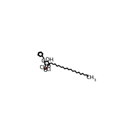 CCCCCCCCCCCCCCCCCCCCC(=O)C(O)C(COP(=O)(Cl)Cl)OCc1ccccc1